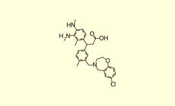 CNc1ccc(C(CC(=O)O)c2ccc(C)c(CN3CCOc4ccc(Cl)cc4C3)c2)c(C)c1N